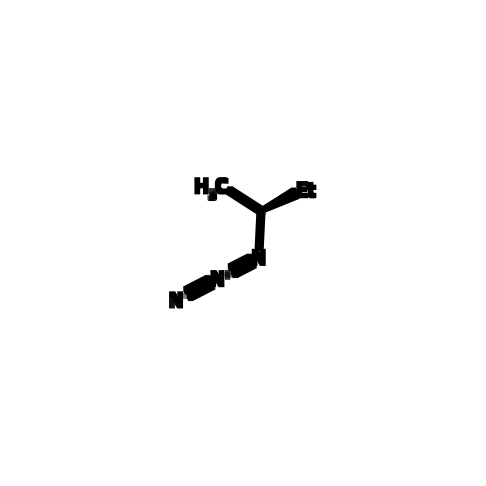 CC[C@H](C)N=[N+]=[N-]